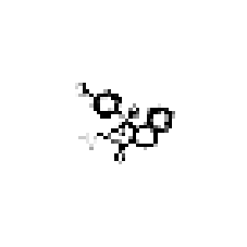 COC(=O)C1CCc2ccccc2C1S(=O)(=O)c1ccc(Cl)cc1